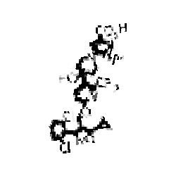 CC(C)n1nc(C(=O)O)cc1N1CCC(O)(c2ccc(OCc3c(-c4c(Cl)cccc4Cl)noc3C3CC3)nc2C(F)(F)F)CC1